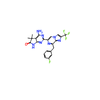 CC1(C)C(=O)Nc2nc(-c3cn4cc(C(F)(F)F)nc4c(Cc4cccc(F)c4)n3)nc(N)c21